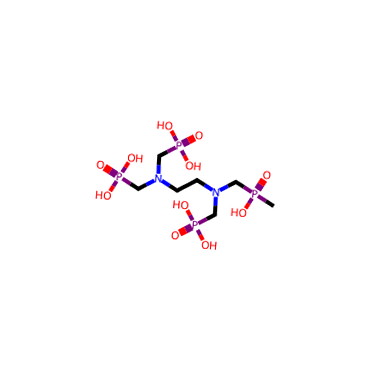 CP(=O)(O)CN(CCN(CP(=O)(O)O)CP(=O)(O)O)CP(=O)(O)O